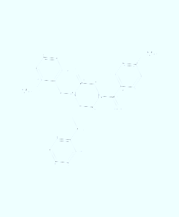 COc1ccc(C(=O)N2CC(=O)N(Cc3ccccc3SC)[C@@H](CCc3ccccc3)C2)cc1